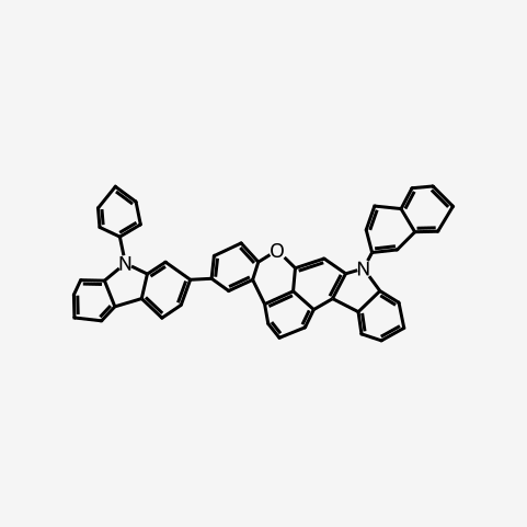 c1ccc(-n2c3ccccc3c3ccc(-c4ccc5c(c4)-c4cccc6c4c(cc4c6c6ccccc6n4-c4ccc6ccccc6c4)O5)cc32)cc1